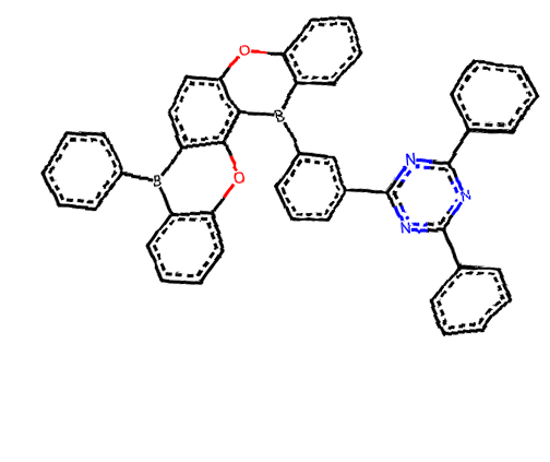 c1ccc(B2c3ccccc3Oc3c2ccc2c3B(c3cccc(-c4nc(-c5ccccc5)nc(-c5ccccc5)n4)c3)c3ccccc3O2)cc1